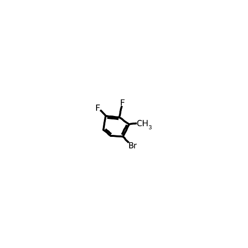 Cc1c(Br)ccc(F)c1F